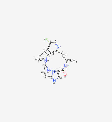 CC1CCc2ncc(F)cc2C2(CC2)N(C)c2ccc3ncc(n3n2)C(=O)N1